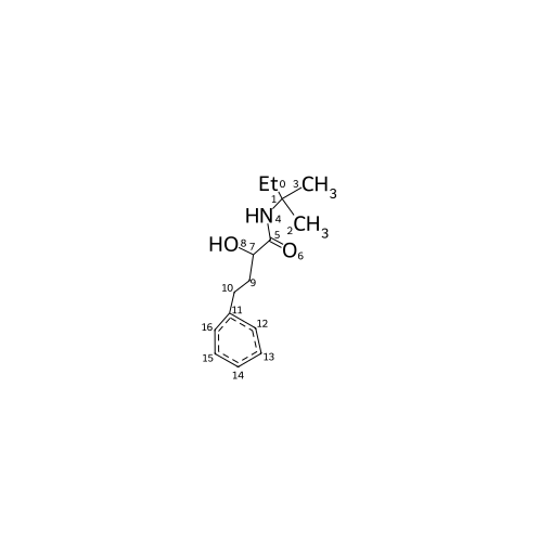 CCC(C)(C)NC(=O)C(O)CCc1ccccc1